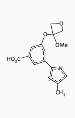 COC1(Oc2cc(C(=O)O)cc(-c3ncc(C)s3)c2)COC1